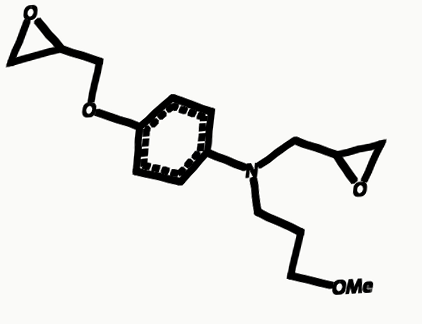 COCCCN(CC1CO1)c1ccc(OCC2CO2)cc1